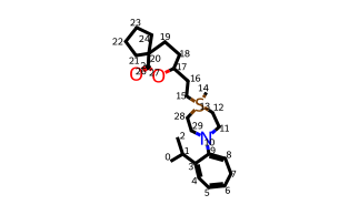 CC(C)C1=CC=CCC=C1N1CCS(C)(CCC2CCC3(CCCC3)C(=O)O2)CC1